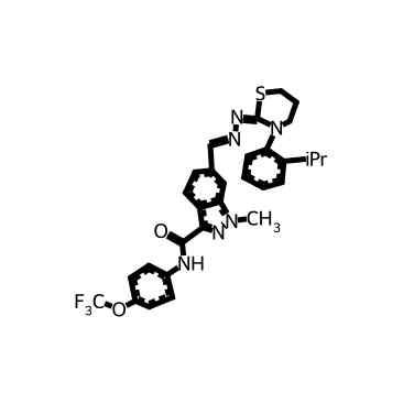 CC(C)c1ccccc1N1CCCSC1=NN=Cc1ccc2c(C(=O)Nc3ccc(OC(F)(F)F)cc3)nn(C)c2c1